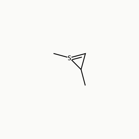 CC1C=S1C